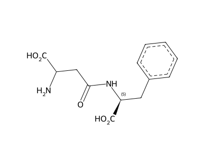 NC(CC(=O)N[C@@H](Cc1ccccc1)C(=O)O)C(=O)O